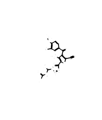 COc1ccc(C(=O)c2c(C#N)[nH]c(-c3nnn(C(C)OC(C)=O)n3)c2C)cc1Br